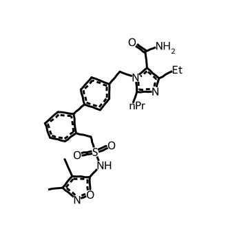 CCCc1nc(CC)c(C(N)=O)n1Cc1ccc(-c2ccccc2CS(=O)(=O)Nc2onc(C)c2C)cc1